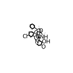 COc1ccnc(C(=O)N[C@@H](C)C(=O)O[C@@H](C)[C@@H](Oc2ccc(Cl)cc2Cl)c2ccccc2)c1O